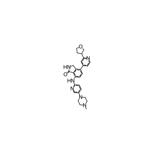 CN1CCN(c2ccc(Nc3ccc(-c4ccnc(C5CCOC5)c4)c4c3C(=O)NC4)nc2)CC1